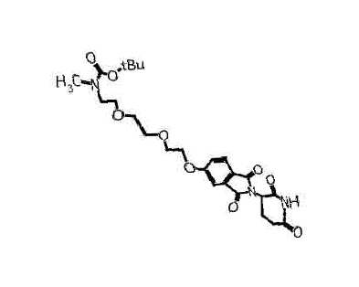 CN(CCOCCOCCOc1ccc2c(c1)C(=O)N(C1CCC(=O)NC1=O)C2=O)C(=O)OC(C)(C)C